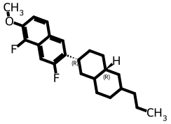 CCCC1CCC2C[C@H](c3cc4ccc(OC)c(F)c4cc3F)CC[C@@H]2C1